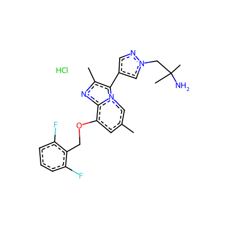 Cc1cc(OCc2c(F)cccc2F)c2nc(C)c(-c3cnn(CC(C)(C)N)c3)n2c1.Cl